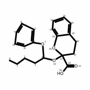 CCCCC(Oc1ccccc1)OC1(C(=O)O)CCc2ccccc2O1